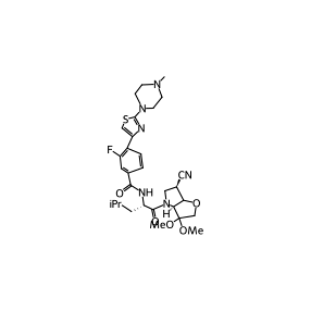 COC1(OC)COC2[C@H](C#N)CN(C(=O)[C@H](CC(C)C)NC(=O)c3ccc(-c4csc(N5CCN(C)CC5)n4)c(F)c3)[C@@H]21